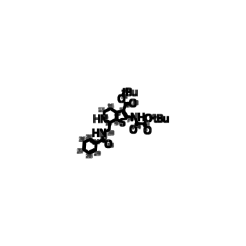 CC(C)(C)OC(=O)C(=O)Nc1sc2c(c1C(=O)OC(C)(C)C)CCNC2CNC(=O)c1ccccc1